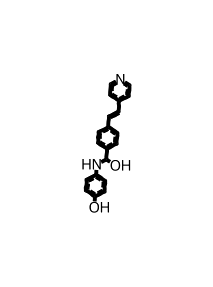 Oc1ccc(NC(O)c2ccc(/C=C/c3ccncc3)cc2)cc1